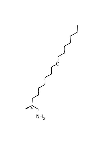 CCCCCCCOCCCCCCC[C@H](C)CN